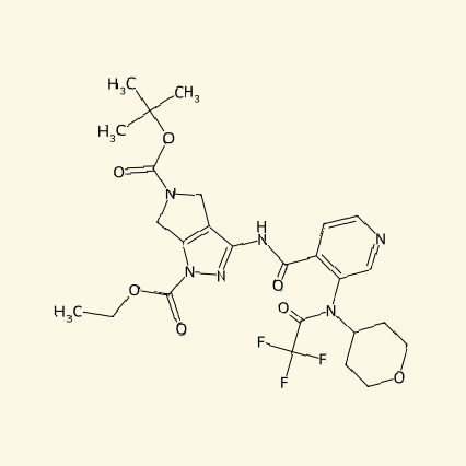 CCOC(=O)n1nc(NC(=O)c2ccncc2N(C(=O)C(F)(F)F)C2CCOCC2)c2c1CN(C(=O)OC(C)(C)C)C2